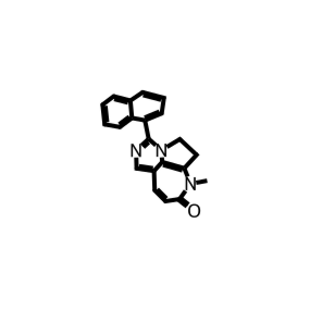 CN1C(=O)C=CC2=CN=C(c3cccc4ccccc34)N3CCC1=C23